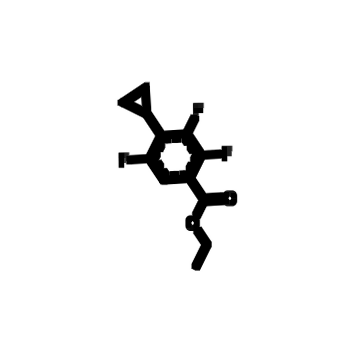 CCOC(=O)c1cc(F)c(C2CC2)c(F)c1F